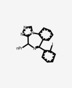 CCCC1N=C(c2ccccc2I)c2ccccc2-n2cnnc21